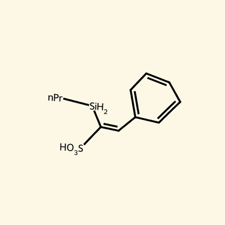 CCC[SiH2]C(=Cc1ccccc1)S(=O)(=O)O